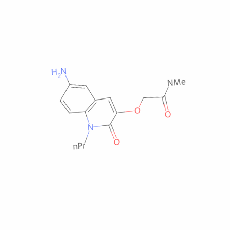 CCCn1c(=O)c(OCC(=O)NC)cc2cc(N)ccc21